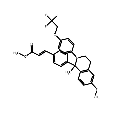 COC(=O)/C=C/c1ccc(C2(C)c3ccc(OC)cc3CCN2c2ccc(OCC(F)(F)F)cc2)cc1